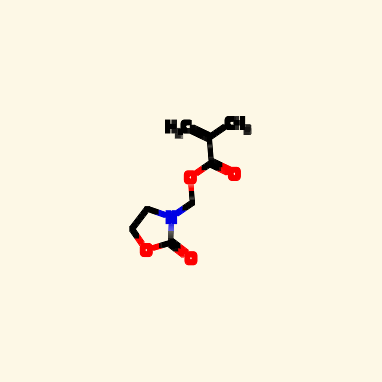 C=C(C)C(=O)OCN1CCOC1=O